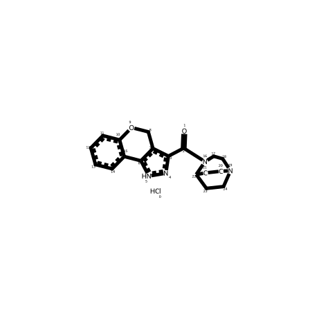 Cl.O=C(c1n[nH]c2c1COc1ccccc1-2)N1CCN2CCC1CC2